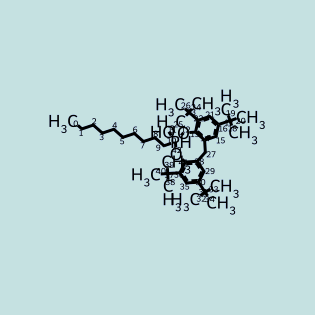 CCCCCCCCCC[PH]1(O)Oc2c(cc(C(C)(C)C)cc2C(C)(C)C)Cc2cc(C(C)(C)C)cc(C(C)(C)C)c2O1